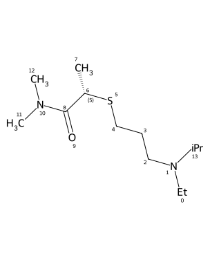 CCN(CCCS[C@@H](C)C(=O)N(C)C)C(C)C